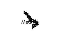 COc1cc(N2CCC(N3CC4(CN(C)C4)C3)CC2)ccc1Nc1cc(N2OCC[C@@H]2c2cccc(F)c2F)ncn1